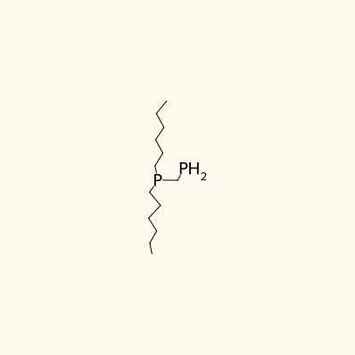 CCCCCCP(CP)CCCCCC